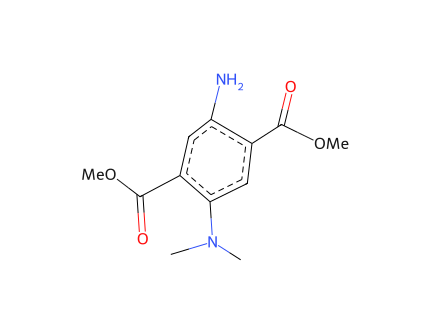 COC(=O)c1cc(N(C)C)c(C(=O)OC)cc1N